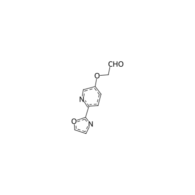 O=CCOc1ccc(-c2ncco2)nc1